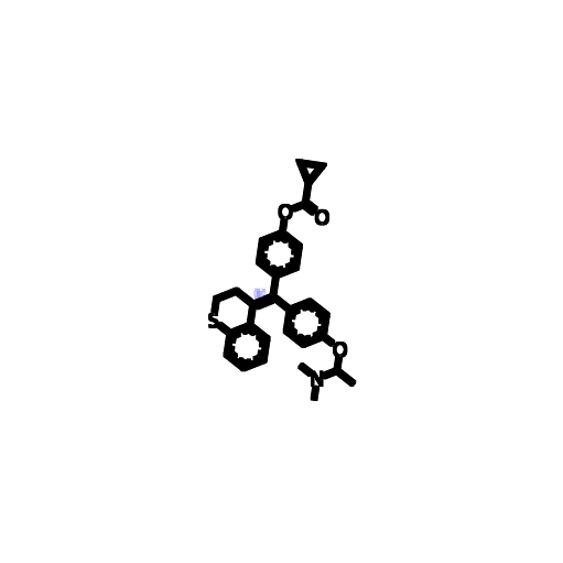 CC(Oc1ccc(/C(=C2/CCSc3ccccc32)c2ccc(OC(=O)C3CC3)cc2)cc1)N(C)C